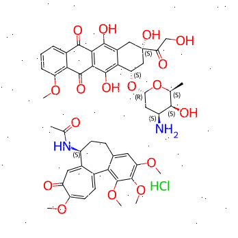 COc1cc2c(c(OC)c1OC)-c1ccc(OC)c(=O)cc1[C@@H](NC(C)=O)CC2.COc1cccc2c1C(=O)c1c(O)c3c(c(O)c1C2=O)C[C@@](O)(C(=O)CO)C[C@@H]3O[C@H]1C[C@H](N)[C@H](O)[C@H](C)O1.Cl